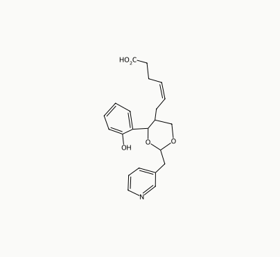 O=C(O)CC/C=C\CC1COC(Cc2cccnc2)OC1c1ccccc1O